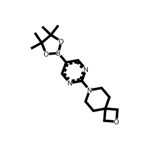 CC1(C)OB(c2cnc(N3CCC4(CC3)COC4)nc2)OC1(C)C